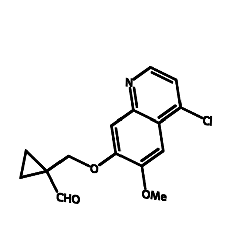 COc1cc2c(Cl)ccnc2cc1OCC1(C=O)CC1